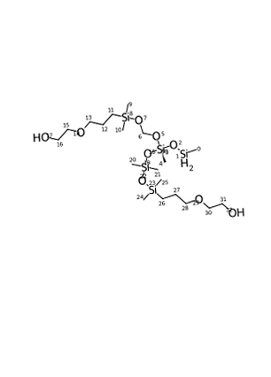 C[SiH2]O[Si@@](C)(OCO[Si](C)(C)CCCOCCO)O[Si](C)(C)O[Si](C)(C)CCCOCCO